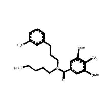 COc1cc(C(=O)N(CCCCC(=O)O)CCCc2cccc(C)c2)cc(OC)c1C